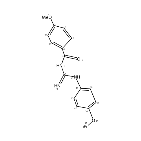 COc1ccc(C(=O)NC(=N)Nc2ccc(OC(C)C)cc2)cc1